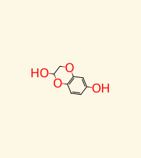 Oc1ccc2c(c1)OCC(O)O2